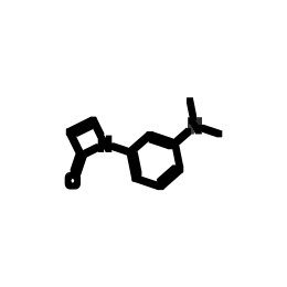 CN(C)c1cccc(N2C=CC2=O)c1